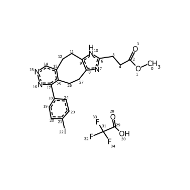 COC(=O)CCc1nc2c([nH]1)CCc1cnnc(-c3ccc(I)cc3)c1CC2.O=C(O)C(F)(F)F